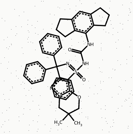 CC1(C)COc2c(S(=O)(=NC(c3ccccc3)(c3ccccc3)c3ccccc3)NC(=O)Nc3c4c(cc5c3CCC5)CCC4)cnn2C1